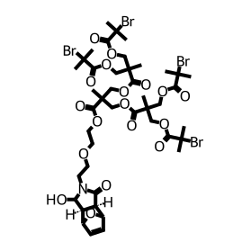 CC(C)(Br)C(=O)OCC(C)(COC(=O)C(C)(C)Br)C(=O)OCC(C)(COC(=O)C(C)(COC(=O)C(C)(C)Br)COC(=O)C(C)(C)Br)C(=O)OCCOCCN1C(=O)[C@H]2C3C=CC(O3)[C@H]2C1O